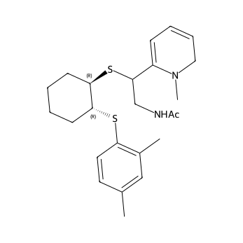 CC(=O)NCC(S[C@@H]1CCCC[C@H]1Sc1ccc(C)cc1C)C1=CC=CCN1C